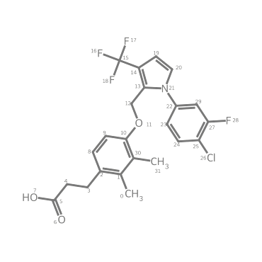 Cc1c(CCC(=O)O)ccc(OCc2c(C(F)(F)F)ccn2-c2ccc(Cl)c(F)c2)c1C